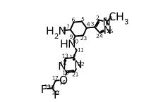 Cn1cc(C2CCC(N)C(NCc3cnc(OCC(F)F)cn3)C2)cn1